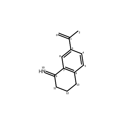 C=C(C)c1ccc2c(c1)C(=N)CCC2